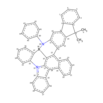 CC1(C)c2ccccc2-c2cc3c(cc21)-c1c2c4c(c5ccccc15)c1ccccc1n4-c1ccccc1B2N3c1ccccc1